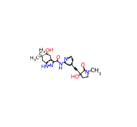 CN1CC[C@@](O)(C#Cc2ccnc(NC(=O)c3n[nH]c4c3C[C@@H](O)C(C)(C)C4)c2)C1=O